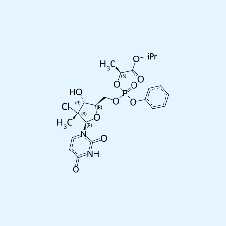 CC(C)OC(=O)[C@H](C)OP(=O)(OC[C@H]1O[C@@H](n2ccc(=O)[nH]c2=O)[C@](C)(Cl)[C@@H]1O)Oc1ccccc1